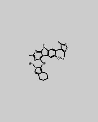 COc1cc2c(cc1-c1c(C)noc1C)[nH]c1nc(C)nc(Nc3c4c(nn3C(C)C)CCCC4)c12